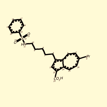 CC(C)c1ccc2c(CCCCCNS(=O)(=O)c3ccccc3)cc(C(=O)O)c-2cc1